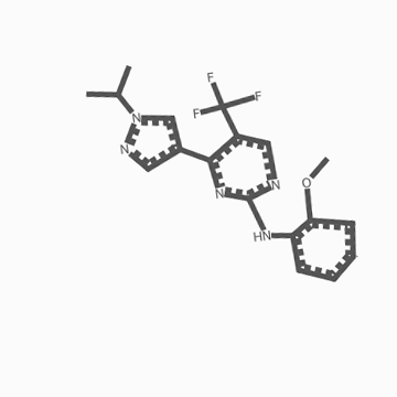 COc1c[c]ccc1Nc1ncc(C(F)(F)F)c(-c2cnn(C(C)C)c2)n1